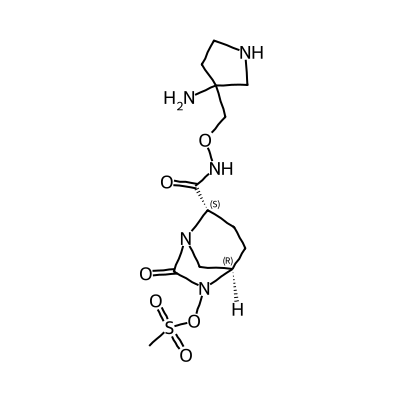 CS(=O)(=O)ON1C(=O)N2C[C@H]1CC[C@H]2C(=O)NOCC1(N)CCNC1